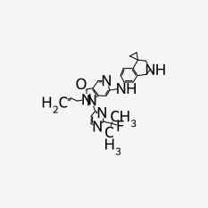 C=CCn1c(=O)c2cnc(Nc3ccc4c(c3)CNCC43CC3)cc2n1-c1ccnc(C(C)(C)F)n1